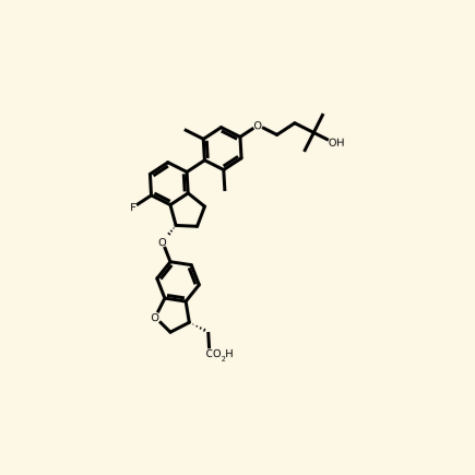 Cc1cc(OCCC(C)(C)O)cc(C)c1-c1ccc(F)c2c1CC[C@@H]2Oc1ccc2c(c1)OC[C@H]2CC(=O)O